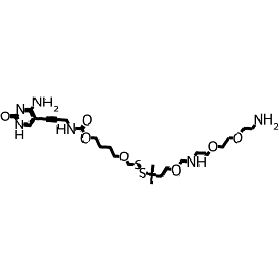 CC(C)(CCOCNCCOCCOCCN)SSCOCCCCOC(=O)NCC#Cc1c[nH]c(=O)nc1N